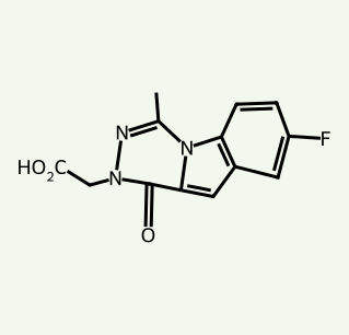 Cc1nn(CC(=O)O)c(=O)c2cc3cc(F)ccc3n12